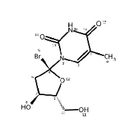 Cc1cn([C@@]2(Br)C[C@H](O)[C@@H](CO)O2)c(=O)[nH]c1=O